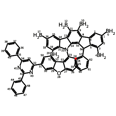 Bc1cc(B)c2c(c1)-c1c(B)c(B)c3c4cc(B)cc(B)c4n(-c4cccc5oc6cc(-c7cc(-c8ccccc8)nc(-c8ccccc8)n7)ccc6c45)c3c1C2c1ccccc1